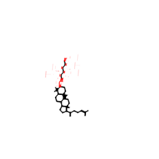 CC(C)=CCCC(C)C1CCC2C3CCC4C(C)(C)C(OC(=O)C(O)C(O)C(O)C(O)CO)CCC45CC35CCC12C